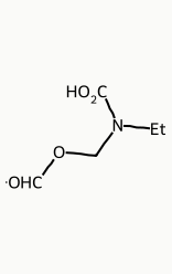 CCN(CO[C]=O)C(=O)O